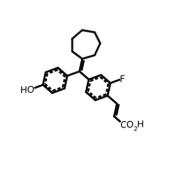 O=C(O)/C=C/c1ccc(C(=C2CCCCCC2)c2ccc(O)cc2)cc1F